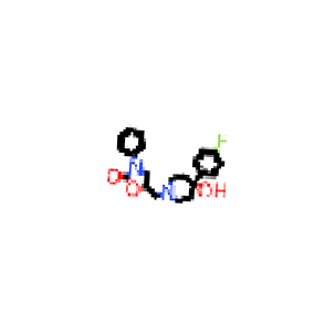 O=C1OC(CN2CCC(O)(c3ccc(F)cc3)CC2)CN1c1ccccc1